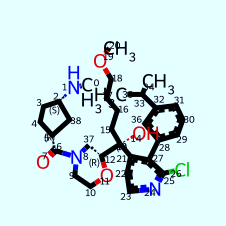 CN[C@H]1CC[C@@H](C(=O)N2CCO[C@@H]([C@@](O)(CCCCOC)c3ccnc(Cl)c3-c3cccc(C(C)C)c3)C2)C1